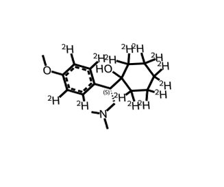 [2H]c1c([2H])c([C@@H](CN(C)C)C2(O)C([2H])([2H])C([2H])([2H])C([2H])([2H])C([2H])([2H])C2([2H])[2H])c([2H])c([2H])c1OC